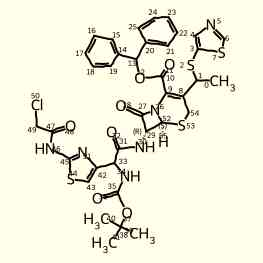 CC(Sc1cncs1)C1=C(C(=O)OC(c2ccccc2)c2ccccc2)N2C(=O)[C@@H](NC(=O)C(NC(=O)OC(C)(C)C)c3csc(NC(=O)CCl)n3)[C@@H]2SC1